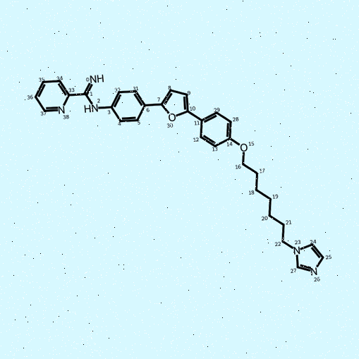 N=C(Nc1ccc(-c2ccc(-c3ccc(OCCCCCCCn4ccnc4)cc3)o2)cc1)c1ccccn1